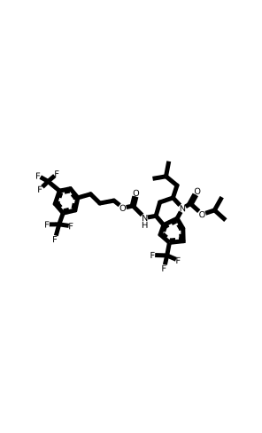 CC(C)CC1CC(NC(=O)OCCCc2cc(C(F)(F)F)cc(C(F)(F)F)c2)c2cc(C(F)(F)F)ccc2N1C(=O)OC(C)C